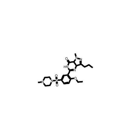 CCCC1=NN(C)C2C(=O)NC(c3cc(S(=O)(=O)N4CCN(C)CC4)ccc3OCC)=NC12